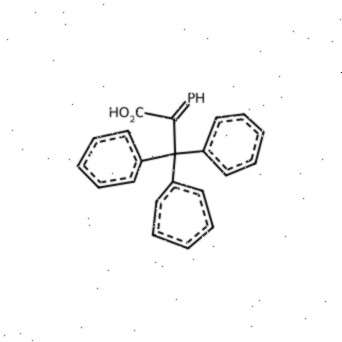 O=C(O)C(=P)C(c1ccccc1)(c1ccccc1)c1ccccc1